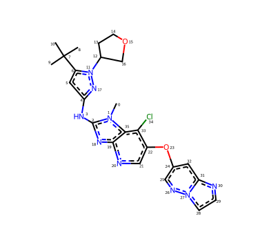 Cn1c(Nc2cc(C(C)(C)C)n(C3CCOC3)n2)nc2ncc(Oc3cnn4ccnc4c3)c(Cl)c21